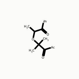 CC(=O)C(=O)C(C)(C)OC(C)C(=O)C(C)C